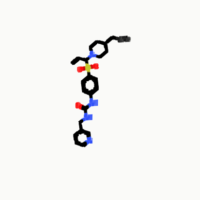 C=CC(N1CCC(COC)CC1)S(=O)(=O)c1ccc(NC(=O)NCc2cccnc2)cc1